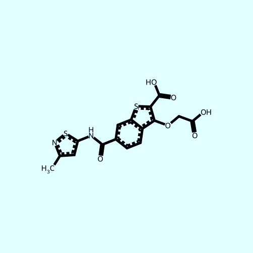 Cc1cc(NC(=O)c2ccc3c(OCC(=O)O)c(C(=O)O)sc3c2)sn1